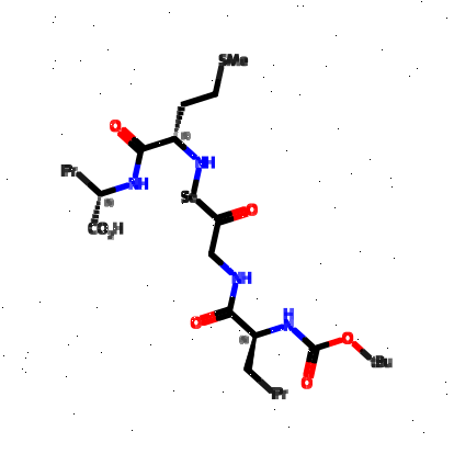 CSCC[C@H](N[Se]C(=O)CNC(=O)[C@H](CC(C)C)NC(=O)OC(C)(C)C)C(=O)N[C@H](C(=O)O)C(C)C